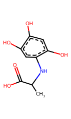 CC(Nc1cc(O)c(O)cc1O)C(=O)O